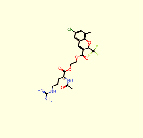 CC(=O)N[C@@H](CCCNC(=N)N)C(=O)OCCOC(=O)C1=Cc2cc(Cl)cc(C)c2OC1C(F)(F)F